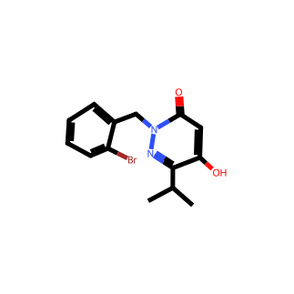 CC(C)c1nn(Cc2ccccc2Br)c(=O)cc1O